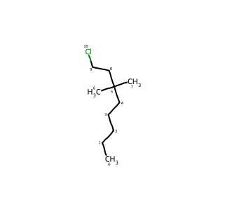 CCCCCC(C)(C)CCCl